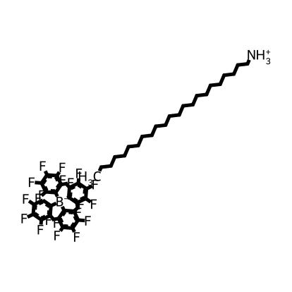 CCCCCCCCCCCCCCCCCCCCCCC[NH3+].Fc1c(F)c(F)c([B-](c2c(F)c(F)c(F)c(F)c2F)(c2c(F)c(F)c(F)c(F)c2F)c2c(F)c(F)c(F)c(F)c2F)c(F)c1F